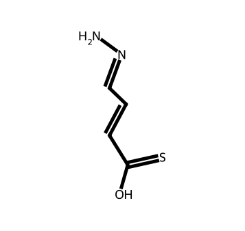 NN=CC=CC(O)=S